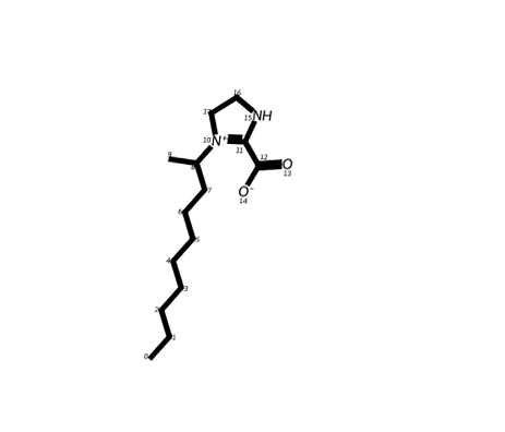 CCCCCCCCC(C)[N+]1=C(C(=O)[O-])NCC1